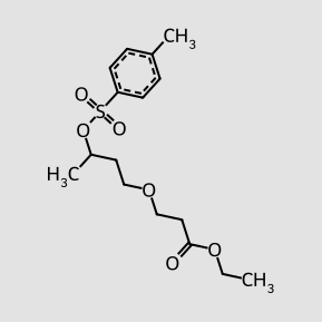 CCOC(=O)CCOCCC(C)OS(=O)(=O)c1ccc(C)cc1